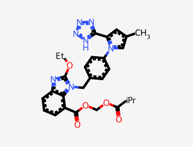 CCOc1nc2cccc(C(=O)OCOC(=O)C(C)C)c2n1Cc1ccc(-n2cc(C)cc2-c2nnn[nH]2)cc1